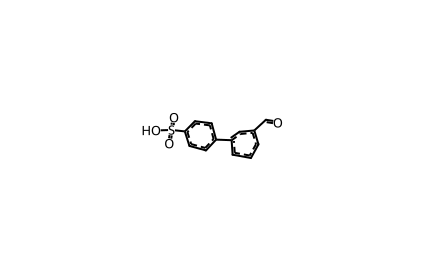 O=Cc1cccc(-c2ccc(S(=O)(=O)O)cc2)c1